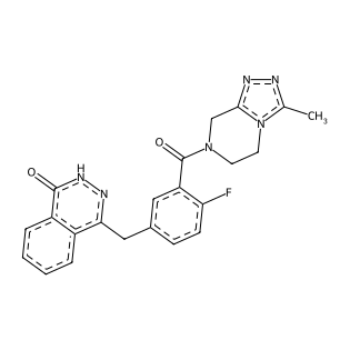 Cc1nnc2n1CCN(C(=O)c1cc(Cc3n[nH]c(=O)c4ccccc34)ccc1F)C2